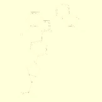 Cc1cccc2c(-c3cccc4nn(C)cc34)nn(-c3ccc(N4CC5C(C4)C5C(N)=O)nc3)c12